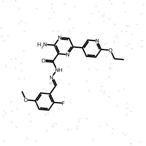 CCOc1ccc(-c2cnc(N)c(C(=O)N/N=C/c3cc(OC)ccc3F)n2)cn1